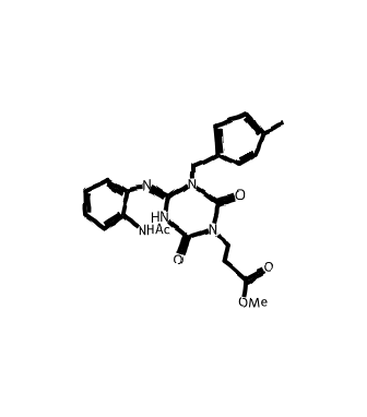 COC(=O)CCn1c(=O)[nH]/c(=N\c2ccccc2NC(C)=O)n(Cc2ccc(C)cc2)c1=O